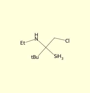 CCNC([SiH3])(CCl)C(C)(C)C